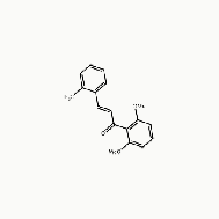 COc1cccc(OC)c1C(=O)/C=C/c1ccccc1C(F)(F)F